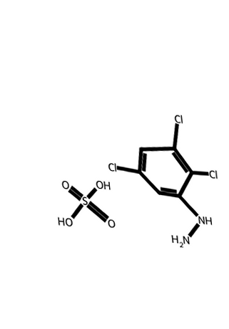 NNc1cc(Cl)cc(Cl)c1Cl.O=S(=O)(O)O